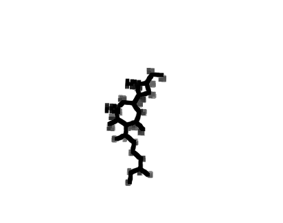 CCC(C)CCCC(C)C1C(C)CC(C2CC(CC)N2)CNC1C